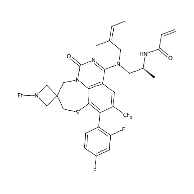 C=CC(=O)N[C@@H](C)CN(C/C(C)=C\C)c1nc(=O)n2c3c(c(-c4ccc(F)cc4F)c(C(F)(F)F)cc13)SCC1(CN(CC)C1)C2